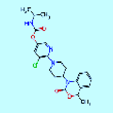 CC(C)NC(=O)Oc1cnc(N2CCC(N3C(=O)OC(C)c4ccccc43)CC2)c(Cl)c1